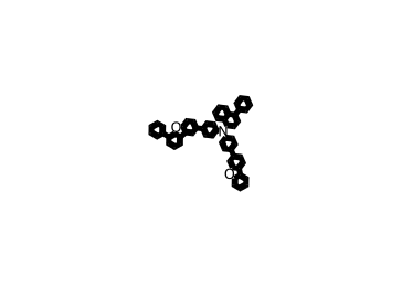 c1ccc(-c2ccc(N(c3ccc(-c4ccc5c(c4)oc4ccccc45)cc3)c3ccc(-c4ccc5oc6c(-c7ccccc7)cccc6c5c4)cc3)c3ccccc23)cc1